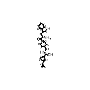 N[C@@H](Cc1c[nH]c2ccccc12)C(=O)N1CCC(CNC(O)c2cc(C3CC3)on2)CC1